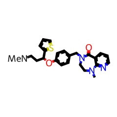 CNCCC(Oc1ccc(CN2CCN(C)c3ncccc3C2=O)cc1)c1cccs1